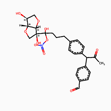 CC(=O)C(c1ccc([C]=O)cc1)c1ccc(CCCC(O)(O[N+](=O)[O-])[C@]2(O)CO[C@@H]3[C@@H](O)CO[C@@H]32)cc1